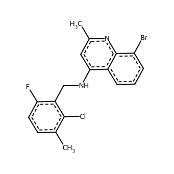 Cc1cc(NCc2c(F)ccc(C)c2Cl)c2cccc(Br)c2n1